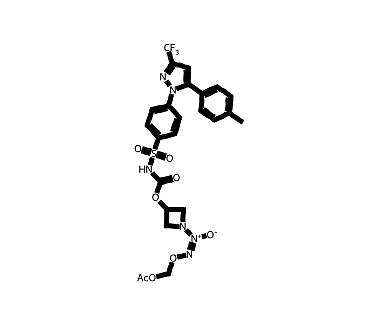 CC(=O)OCO/N=[N+](/[O-])N1CC(OC(=O)NS(=O)(=O)c2ccc(-n3nc(C(F)(F)F)cc3-c3ccc(C)cc3)cc2)C1